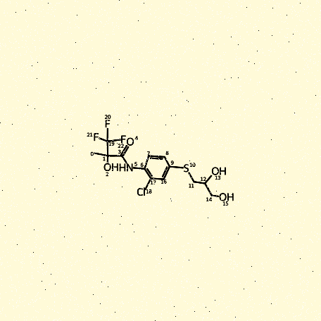 CC(O)(C(=O)Nc1ccc(SCC(O)CO)cc1Cl)C(F)(F)F